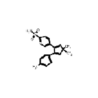 NS(=O)(=O)c1ccc(C2=CC(C(F)(F)F)(C(F)(F)F)C=C2c2ccc(C(F)(F)F)cc2)cn1